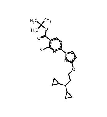 CC(C)(C)OC(=O)c1ccc(-n2ccc(OCCC(C3CC3)C3CC3)n2)nc1Cl